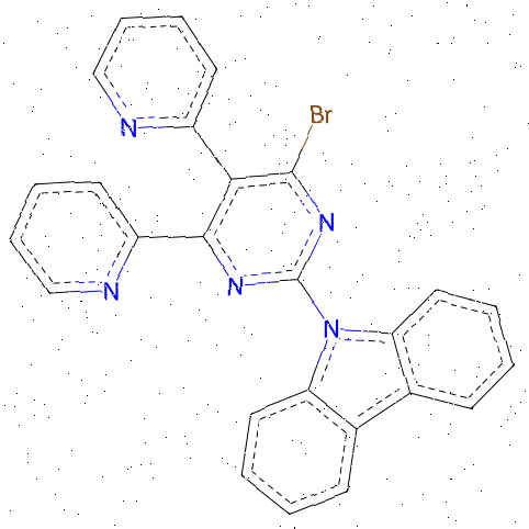 Brc1nc(-n2c3ccccc3c3ccccc32)nc(-c2ccccn2)c1-c1ccccn1